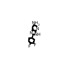 Nc1cnc2[nH]c(-c3ccc(F)c(F)c3)nc2c1